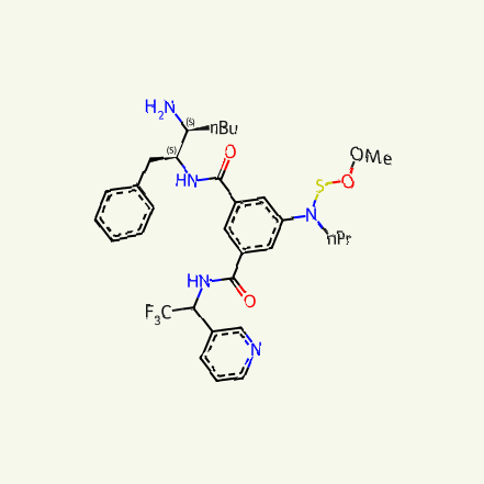 CCCC[C@H](N)[C@H](Cc1ccccc1)NC(=O)c1cc(C(=O)NC(c2cccnc2)C(F)(F)F)cc(N(CCC)SOOC)c1